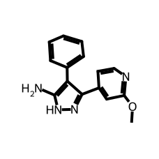 COc1cc(-c2n[nH]c(N)c2-c2ccccc2)ccn1